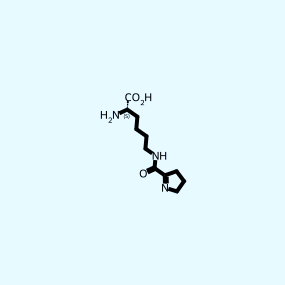 N[C@@H](CCCCNC(=O)C1=NCCC1)C(=O)O